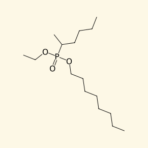 CCCCCCCCOP(=O)(OCC)C(C)CCCC